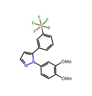 COc1ccc(-n2nccc2-c2cccc(S(F)(F)(F)(F)F)c2)cc1OC